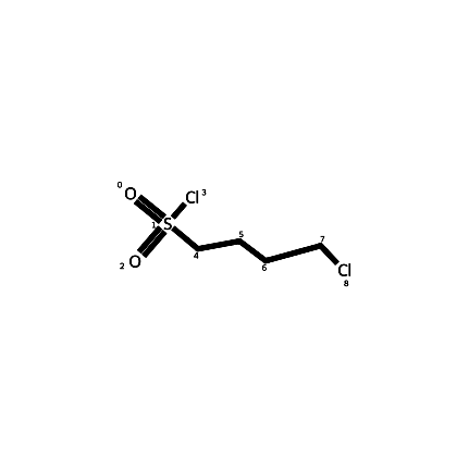 O=S(=O)(Cl)CCCCCl